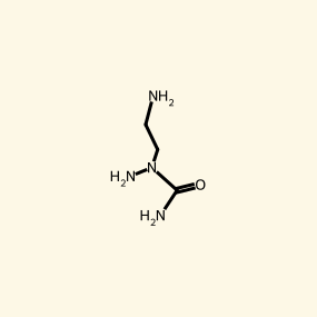 NCCN(N)C(N)=O